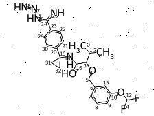 CC(C)[C@@H](OCc1cccc(OC(F)F)c1)C(O)NC1(c2ccc(C(=N)NN=N)cc2)CC1